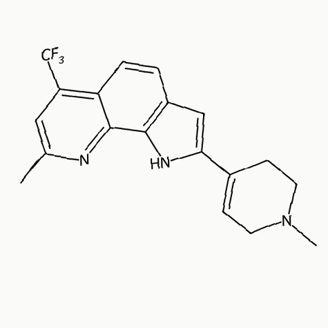 Cc1cc(C(F)(F)F)c2ccc3cc(C4=CCN(C)CC4)[nH]c3c2n1